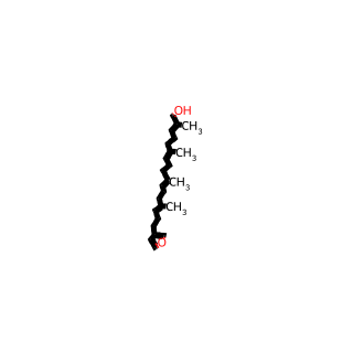 C/C(=C\CC/C(C)=C/CC/C(C)=C/CC/C(C)=C/CCc1ccoc1)CO